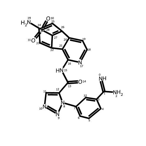 N=C(N)c1cccc(-n2nncc2C(=O)Nc2nccc3c2-c2cccc-3c2S(N)(=O)=O)c1